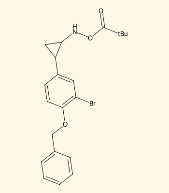 CC(C)(C)C(=O)ONC1CC1c1ccc(OCc2ccccc2)c(Br)c1